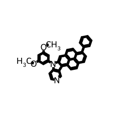 COc1cc(OC)cc(-n2c3ccncc3c3c4ccc5ccc(-c6ccccc6)c6ccc(cc32)c4c56)c1